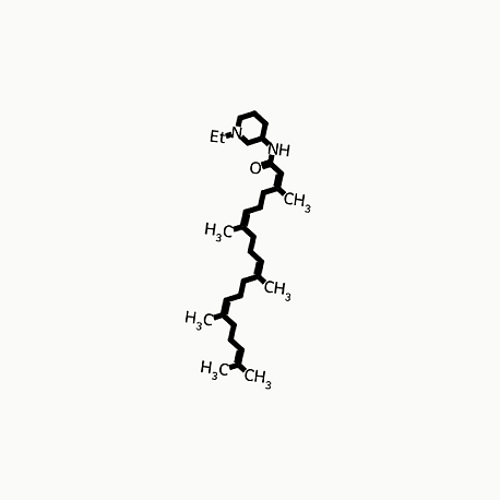 CCN1CCCC(NC(=O)C=C(C)CCC=C(C)CCC=C(C)CCC=C(C)CCC=C(C)C)C1